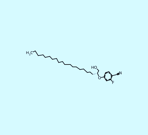 CCCCCCCCCCCCCCCCCCC[C@H](CO)Oc1ccc(C#N)c(F)c1